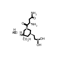 Cl.Cl.NC(=O)C[C@H](N)C(=O)N1C[C@@H](CCB(O)O)C[C@](N)(C(=O)O)C1